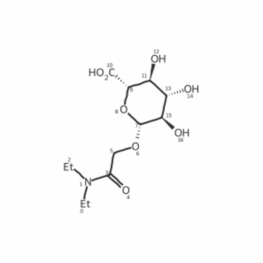 CCN(CC)C(=O)CO[C@@H]1O[C@H](C(=O)O)[C@@H](O)[C@H](O)[C@H]1O